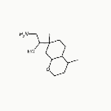 CC1CCOC2CC(C)(C(O)CN)CCC12